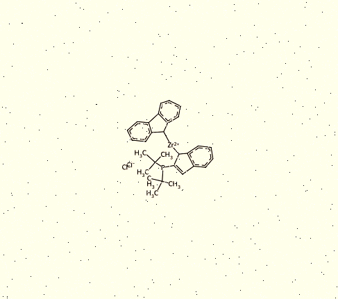 CC(C)(C)P(C1=Cc2ccccc2[CH]1[Zr+2][CH]1c2ccccc2-c2ccccc21)C(C)(C)C.[Cl-].[Cl-]